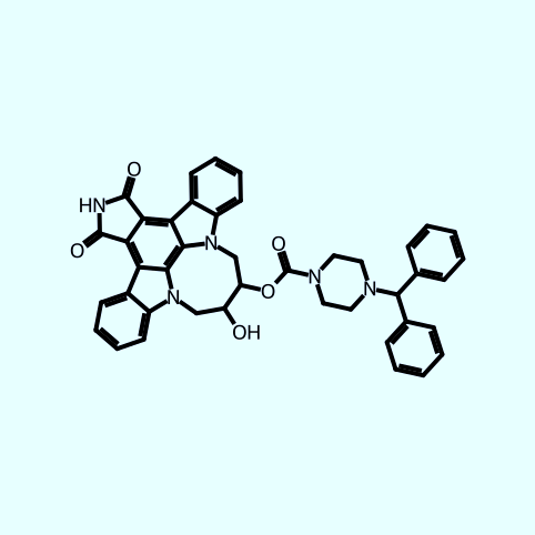 O=C1NC(=O)c2c1c1c3ccccc3n3c1c1c2c2ccccc2n1CC(OC(=O)N1CCN(C(c2ccccc2)c2ccccc2)CC1)C(O)C3